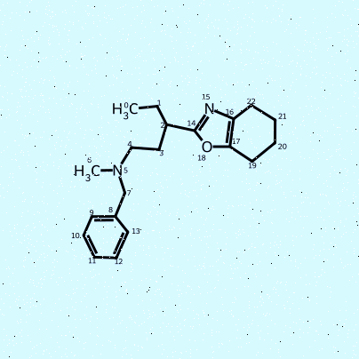 CCC(CCN(C)Cc1ccccc1)c1nc2c(o1)CCCC2